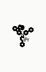 CC(C)/C=C(\C=C/Cc1ccccc1)N(c1ccc(-c2ccccc2)cc1)c1ccc2c(c1)C1(c3ccccc3-2)C2CC3CC(C2)CC1C3